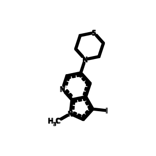 Cn1cc(I)c2cc(N3CCSCC3)cnc21